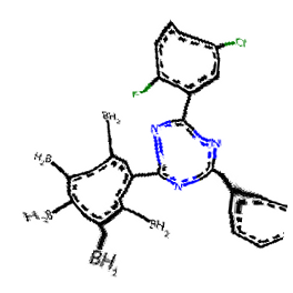 Bc1c(B)c(B)c(-c2nc(-c3ccccc3)nc(-c3cc(Cl)ccc3F)n2)c(B)c1B